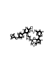 C[C@@H](CCNc1cc(Cl)ncc1-c1cnc(OC2COC2)cn1)Oc1c(-c2nccc(N)n2)cnn1C